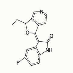 CCC1O/C(=C2/C(=O)Nc3ccc(F)cc32)c2ccncc21